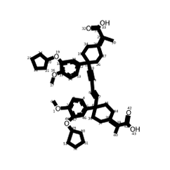 COc1ccc(C2(C#CC#CC3(c4ccc(OC)c(OC5CCCC5)c4)CCC(=C(C)C(=O)O)CC3)CCC(=C(C)C(=O)O)CC2)cc1OC1CCCC1